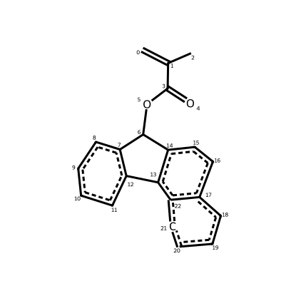 C=C(C)C(=O)OC1c2ccccc2-c2c1ccc1ccccc21